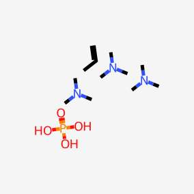 C=CC.CN(C)C.CN(C)C.CN(C)C.O=P(O)(O)O